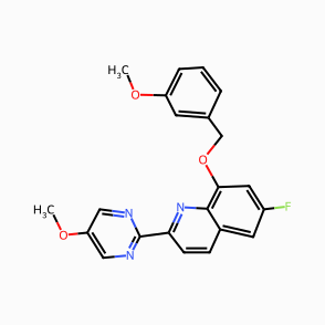 COc1cnc(-c2ccc3cc(F)cc(OCc4cccc(OC)c4)c3n2)nc1